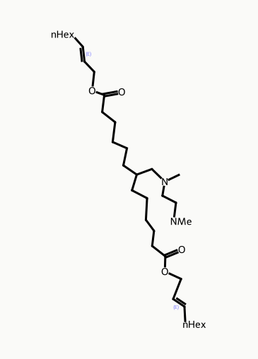 CCCCCC/C=C/COC(=O)CCCCCC(CCCCCC(=O)OC/C=C/CCCCCC)CN(C)CCNC